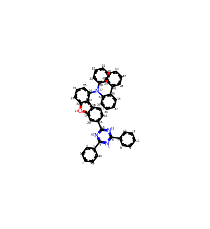 c1ccc(-c2nc(-c3ccccc3)nc(-c3ccc4c(c3)oc3cccc(N(c5ccccc5)c5ccccc5-c5ccccc5)c34)n2)cc1